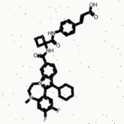 CN1CCn2c(c(C3CCCCC3)c3ccc(C(=O)NC4(C(=O)Nc5ccc(/C=C/C(=O)O)cc5)CCC4)cc32)-c2cc(F)c(F)cc21